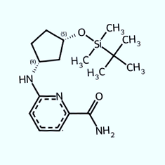 CC(C)(C)[Si](C)(C)O[C@H]1CC[C@@H](Nc2cc[c]c(C(N)=O)n2)C1